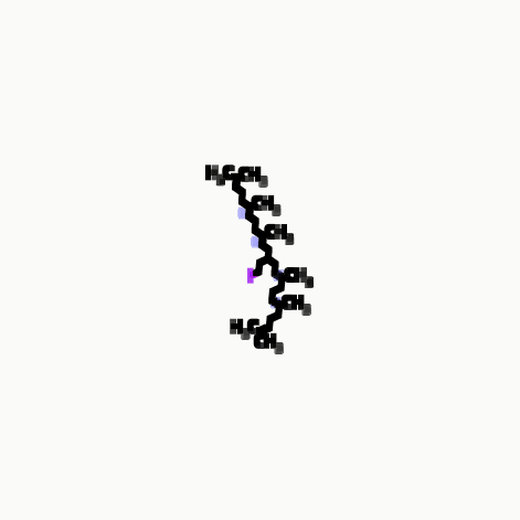 CC(C)=CCC/C(C)=C/CC/C(C)=C/CC(C/C=C(\C)CC/C=C(\C)CCC=C(C)C)CCI